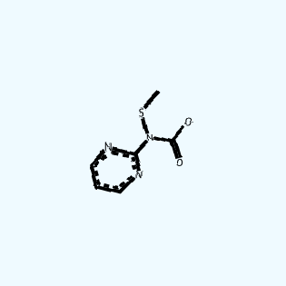 CSN(C([O])=O)c1ncccn1